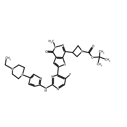 CCN1CCN(c2ccc(Nc3ncc(F)c(-c4cc5c(=O)n(C)nc(C6CN(C(=O)OC(C)(C)C)C6)c5s4)n3)nc2)CC1